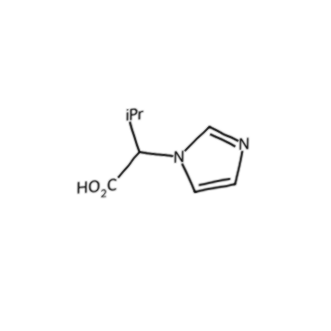 CC(C)C(C(=O)O)n1ccnc1